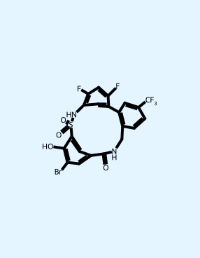 O=C1NCc2ccc(C(F)(F)F)cc2-c2cc(c(F)cc2F)NS(=O)(=O)c2cc1cc(Br)c2O